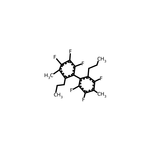 CCCc1c(C)c(F)c(F)c(F)c1-c1c(F)c(F)c(C)c(F)c1CCC